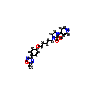 CCc1nc(-c2ccc(OCCCCCN3CCN(c4ccncc4)S3(=O)=O)cc2)no1